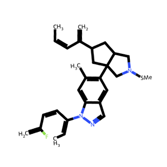 C=C(F)/C=C\C(=C/C)n1ncc2cc(C34CC(C(=C)/C=C\C)CC3CN(SC)C4)c(C)cc21